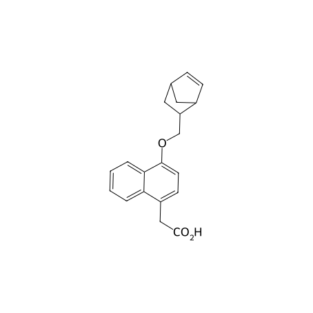 O=C(O)Cc1ccc(OCC2CC3C=CC2C3)c2ccccc12